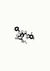 NC[C@H]1CNC(=O)c2c(OCc3ccccc3)c(=O)c(C(=O)NCc3c(F)cc(F)cc3F)cn21